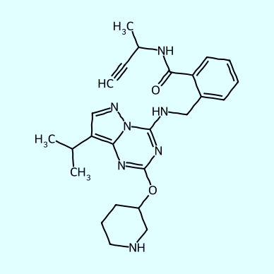 C#CC(C)NC(=O)c1ccccc1CNc1nc(OC2CCCNC2)nc2c(C(C)C)cnn12